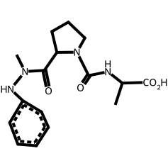 CC(NC(=O)N1CCCC1C(=O)N(C)Nc1ccccc1)C(=O)O